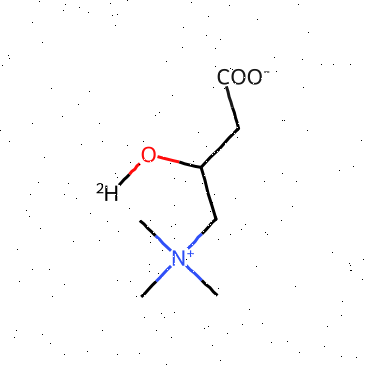 [2H]OC(CC(=O)[O-])C[N+](C)(C)C